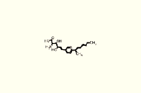 CCCCCCC(C)c1ccc(CCC(O)C(O)C(N)C(=O)O)cn1